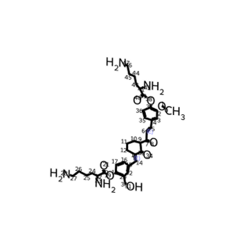 COc1cc(/C=C/C(=O)C2CCC/C(=C\c3ccc(OC(=O)C(N)CCCCN)c(CO)c3)C2=O)ccc1OC(=O)C(N)CCCCN